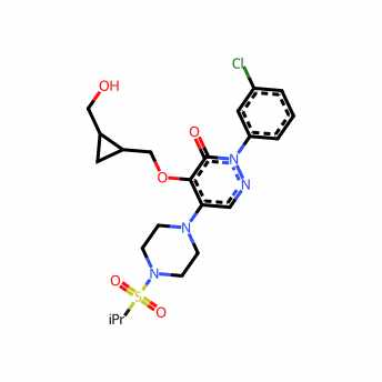 CC(C)S(=O)(=O)N1CCN(c2cnn(-c3cccc(Cl)c3)c(=O)c2OCC2CC2CO)CC1